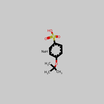 CC(C)(C)Oc1ccc(S(=O)(=O)O)cc1.[NaH]